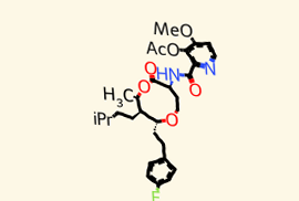 COc1ccnc(C(=O)N[C@H]2CCO[C@H](CCc3ccc(F)cc3)[C@@H](CCC(C)C)[C@H](C)OC2=O)c1OC(C)=O